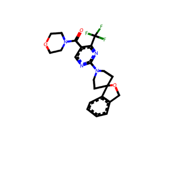 O=C(c1cnc(N2CCC3(CC2)OCc2ccccc23)nc1C(F)(F)F)N1CCOCC1